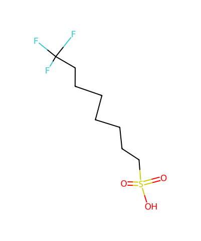 O=S(=O)(O)CCCCCCCC(F)(F)F